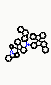 c1ccc2c(c1)-c1ccccc1C21c2cc(N(c3ccc4c(ccc5ccccc54)c3)c3cccc4c3-c3ccccc3C43c4ccccc4-n4c5ccccc5c5cccc3c54)ccc2-c2c1ccc1ccccc21